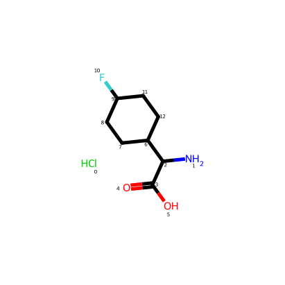 Cl.NC(C(=O)O)C1CCC(F)CC1